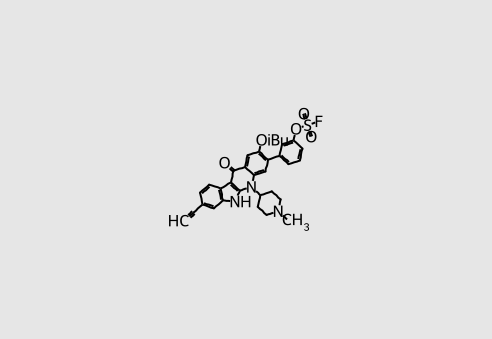 C#Cc1ccc2c(c1)[nH]c1c2c(=O)c2cc(OCC(C)C)c(-c3cccc(OS(=O)(=O)F)c3)cc2n1C1CCN(C)CC1